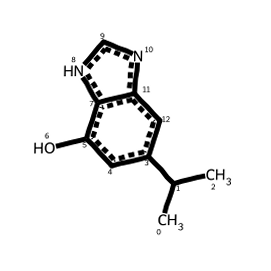 CC(C)c1cc(O)c2[nH]cnc2c1